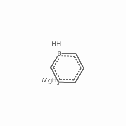 [HH].[MgH2].b1ccccc1